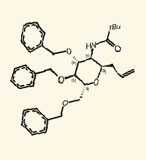 C=CC[C@H]1O[C@H](COCc2ccccc2)[C@@H](OCc2ccccc2)[C@H](OCc2ccccc2)[C@H]1NC(=O)C(C)(C)C